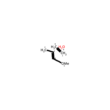 C=C.CC=COC.O